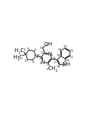 Cc1nc(N2CCC(C)(C)CC2)c(CO)nc1-c1c[nH]c2ccccc12